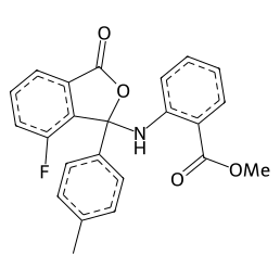 COC(=O)c1ccccc1NC1(c2ccc(C)cc2)OC(=O)c2cccc(F)c21